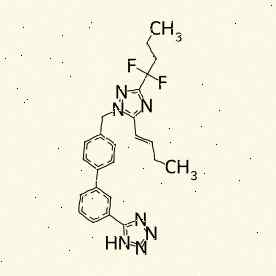 CCC=Cc1nc(C(F)(F)CCC)nn1Cc1ccc(-c2cccc(-c3nnn[nH]3)c2)cc1